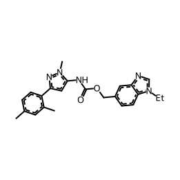 CCn1cnc2cc(COC(=O)Nc3cc(-c4ccc(C)cc4C)nn3C)ccc21